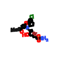 COC(=O)c1ccc2c(c1)N(C[C@@H]1CC[C@H]1[C@@H](O)/C=C(\Br)CCCS(N)(=O)=O)C[C@@]1(CCCc3cc(Cl)ccc31)CO2